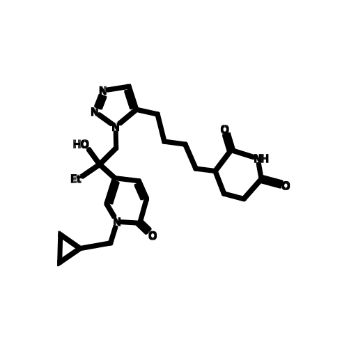 CCC(O)(Cn1nncc1CCCCC1CCC(=O)NC1=O)c1ccc(=O)n(CC2CC2)c1